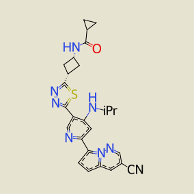 CC(C)Nc1cc(-c2ccc3cc(C#N)cnn23)ncc1-c1nnc([C@H]2C[C@@H](NC(=O)C3CC3)C2)s1